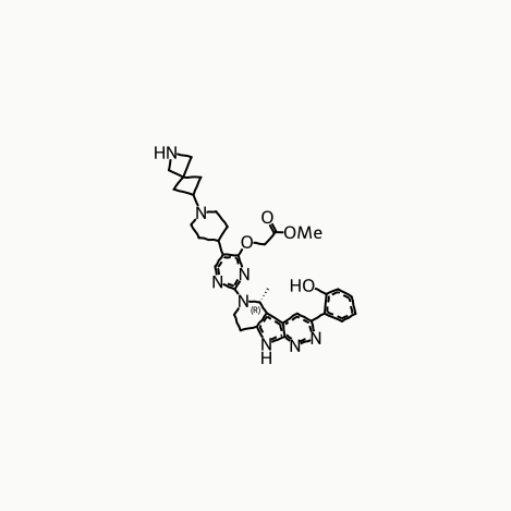 COC(=O)COc1nc(N2CCc3[nH]c4nnc(-c5ccccc5O)cc4c3[C@H]2C)ncc1C1CCN(C2CC3(CNC3)C2)CC1